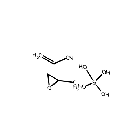 C=CC#N.CC1CO1.O[Si](O)(O)O